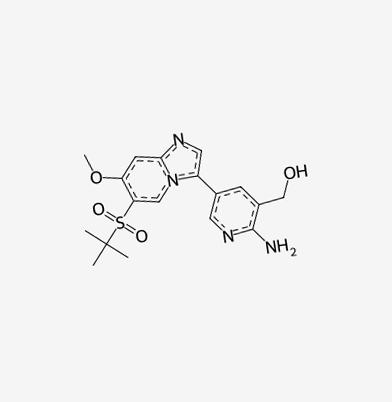 COc1cc2ncc(-c3cnc(N)c(CO)c3)n2cc1S(=O)(=O)C(C)(C)C